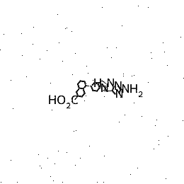 Nc1ncc(CN2CCc3cc(-c4cccc5cc(C(=O)O)ccc45)ccc32)c(N)n1